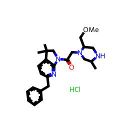 COCC1CNC(C)CN1CC(=O)N1CC(C)(C)c2ccc(Cc3ccccc3)nc21.Cl